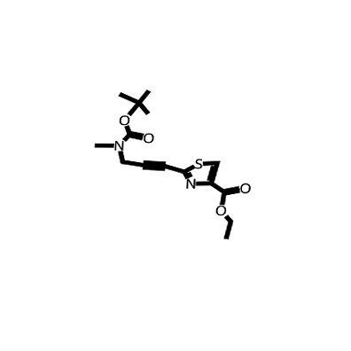 CCOC(=O)c1csc(C#CCN(C)C(=O)OC(C)(C)C)n1